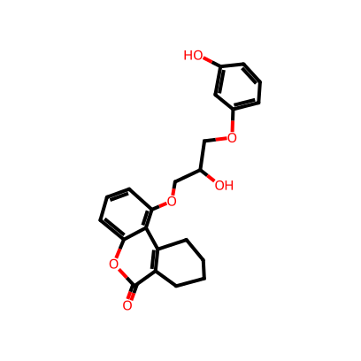 O=c1oc2cccc(OCC(O)COc3cccc(O)c3)c2c2c1CCCC2